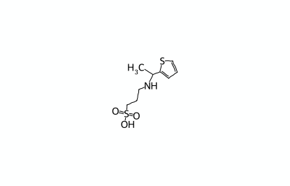 CC(NCCCS(=O)(=O)O)c1cccs1